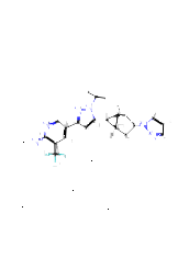 CC(C)n1nc(-c2cnc(N)c(C(F)(F)F)c2)cc1[C@H]1[C@@H]2C[C@H](n3cccn3)C[C@@H]21